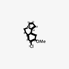 COc1cc2c(cc1Cl)CCn1c[c]cc1-2